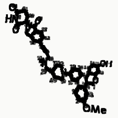 COc1cccc(C2COc3cc(O)ccc3[C@H]2c2ccc(N3CCC(CN(C)CC#Cc4ccc5c(c4)CN(C4CCC(=O)NC4=O)C5=O)CC3)cc2)c1